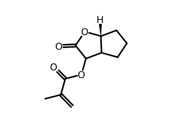 C=C(C)C(=O)OC1C(=O)O[C@@H]2CCCC12